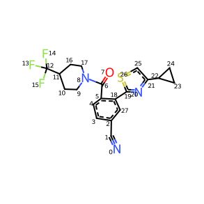 N#Cc1ccc(C(=O)N2CCC(C(F)(F)F)CC2)c(-c2nc(C3CC3)cs2)c1